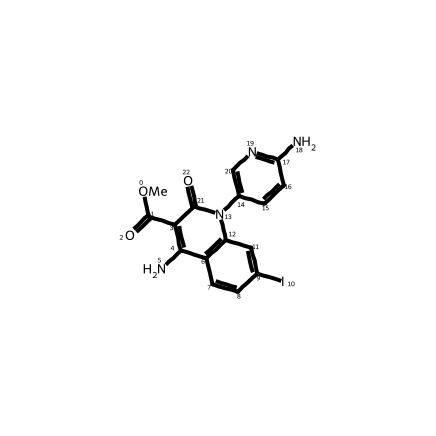 COC(=O)c1c(N)c2ccc(I)cc2n(-c2ccc(N)nc2)c1=O